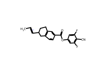 C/C=C/C1CCc2cc(C(=O)Oc3cc(F)c(C#N)c(F)c3)ccc2C1